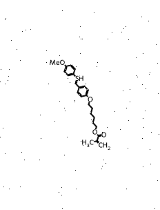 C=C(C)C(=O)OCCCCCCOc1ccc(C=[SH]c2ccc(OC)cc2)cc1